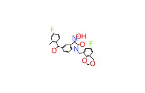 Cc1cc(F)ccc1C(=O)c1ccc2c(c1)/C(=N/O)C(=O)N2Cc1cc(F)cc2c1OCOC2